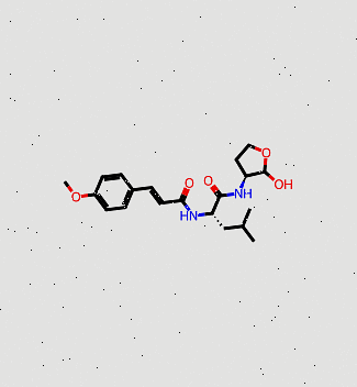 COc1ccc(C=CC(=O)N[C@@H](CC(C)C)C(=O)N[C@H]2CCOC2O)cc1